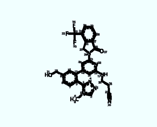 Cn1cnnc1-c1ccc(CO)cc1-c1cc(NCCC#N)nc(N2Cc3c(cccc3C(F)(F)F)C2=O)c1